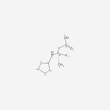 C[C@@](F)(CS(=O)O)NC1CCCC1